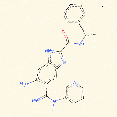 CC(NC(=O)c1nc2cc(C(=N)N(C)c3cccnc3)c(N)cc2[nH]1)c1ccccc1